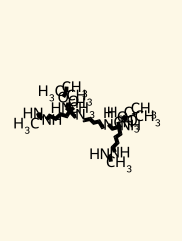 CC(=N)NCCCCC(C)(CNCCCCCNCC(C)(CCCCNC(C)=N)NC(=O)OC(C)(C)C)NC(=O)OC(C)(C)C